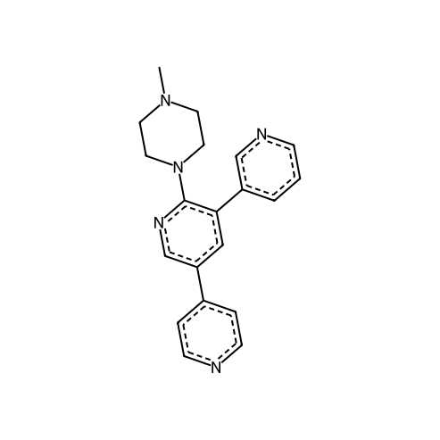 CN1CCN(c2ncc(-c3ccncc3)cc2-c2cccnc2)CC1